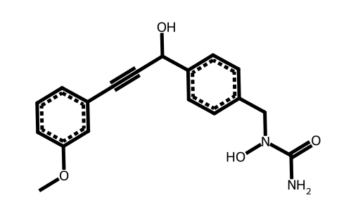 COc1cccc(C#CC(O)c2ccc(CN(O)C(N)=O)cc2)c1